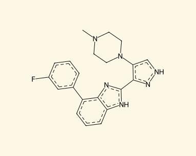 CN1CCN(c2c[nH]nc2-c2nc3c(-c4cccc(F)c4)cccc3[nH]2)CC1